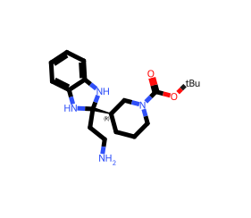 CC(C)(C)OC(=O)N1CCC[C@@H](C2(CCN)Nc3ccccc3N2)C1